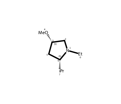 CCN1C[C@@H](OC)C[C@H]1C(C)C